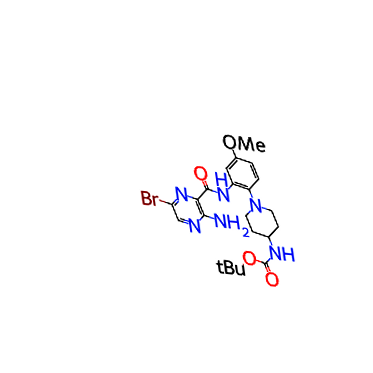 COc1ccc(N2CCC(NC(=O)OC(C)(C)C)CC2)c(NC(=O)c2nc(Br)cnc2N)c1